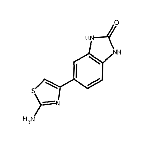 Nc1nc(-c2ccc3[nH]c(=O)[nH]c3c2)cs1